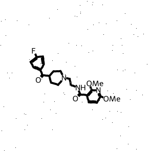 COc1ccc(C(=O)NCCN2CCC(C(=O)c3ccc(F)cc3)CC2)c(OC)n1